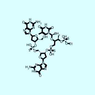 B[C@@H](OC(COP(O)(=S)O[C@@H]1CC(n2cnc3c(=O)[nH]c(N)nc32)O[C@@H]1COP(O)(=S)O[C@@H]1CC(n2cnc3c(=O)[nH]c(N)nc32)O[C@@H]1CO)[C@@H](C)OP(O)(=S)OCC)n1cc(C)c(=O)[nH]c1=O